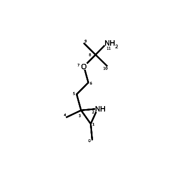 CC1NC1(C)CCOC(C)(C)N